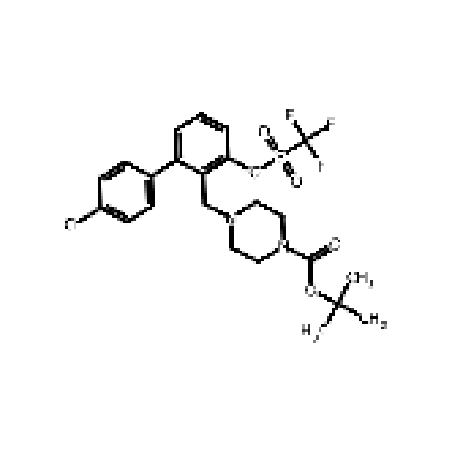 CC(C)(C)OC(=O)N1CCN(Cc2c(OS(=O)(=O)C(F)(F)F)cccc2-c2ccc(Cl)cc2)CC1